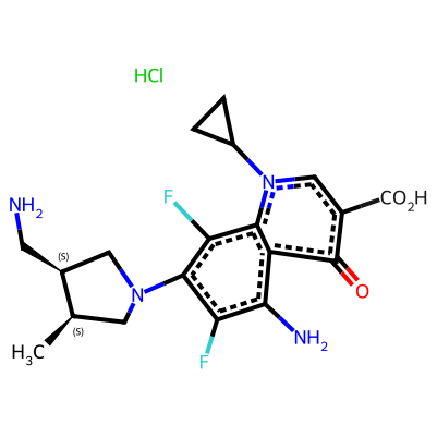 C[C@@H]1CN(c2c(F)c(N)c3c(=O)c(C(=O)O)cn(C4CC4)c3c2F)C[C@@H]1CN.Cl